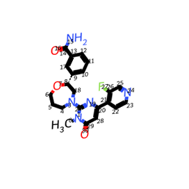 Cn1c(N2CCCO[C@H](c3cccc(C(N)=O)c3)C2)nc(-c2ccncc2F)cc1=O